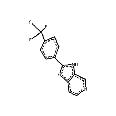 FC(F)(F)c1ccc(-c2nc3ccncc3[nH]2)cc1